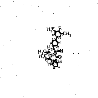 Cc1cc(-c2ccc(C[C@@H](C#N)NC(=O)[C@@H]3[C@H]4CC[C@H](C4)N3C(=O)OC(C)(C)C)cc2)cc(C)c1F